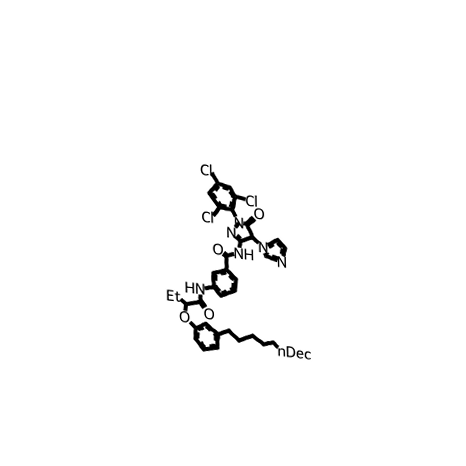 CCCCCCCCCCCCCCCc1cccc(OC(CC)C(=O)Nc2cccc(C(=O)NC3=NN(c4c(Cl)cc(Cl)cc4Cl)C(=O)C3n3ccnc3)c2)c1